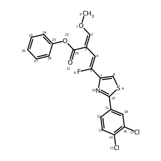 COC=C(C=C(F)c1csc(-c2ccc(Cl)c(Cl)c2)n1)C(=O)Oc1ccccc1